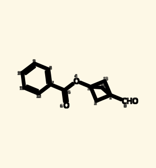 O=CC12CC(OC(=O)c3ccccc3)(C1)C2